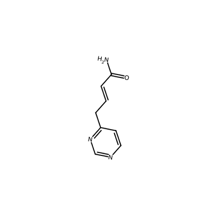 NC(=O)C=CCc1ccncn1